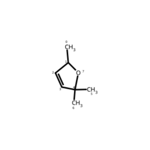 CC1C=CC(C)(C)O1